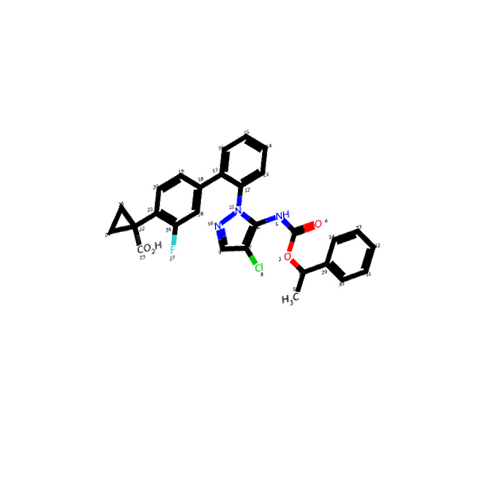 CC(OC(=O)Nc1c(Cl)cnn1-c1ccccc1-c1ccc(C2(C(=O)O)CC2)c(F)c1)c1ccccc1